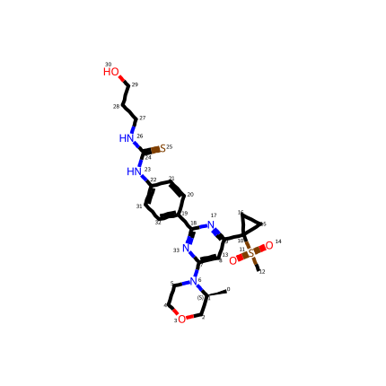 C[C@H]1COCCN1c1cc(C2(S(C)(=O)=O)CC2)nc(-c2ccc(NC(=S)NCCCO)cc2)n1